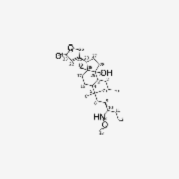 CCCC1C(C(C)(C)CC[C@@H](CC)NOC)CC[C@]2(C)[C@@H](C3=CC(=O)OC3)CC[C@]12O